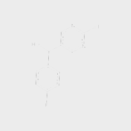 OC(c1ccc(F)cc1)c1cnc(Cl)nc1